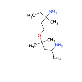 CCC(C)(N)CCOC(C)(C)CC(C)N